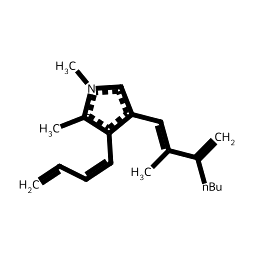 C=C/C=C\c1c(/C=C(\C)C(=C)CCCC)cn(C)c1C